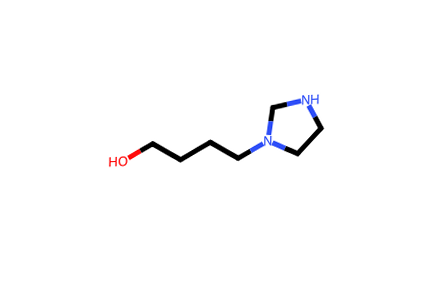 OCCCCN1CCNC1